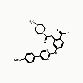 CCC(=O)c1ccc(Nc2ncc(-c3ccc(OC)cc3)cn2)cc1CC(=O)N1CCN(C)CC1